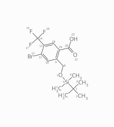 CC(C)(C)[Si](C)(C)OCc1cc(Br)c(C(F)(F)F)cc1C(=O)O